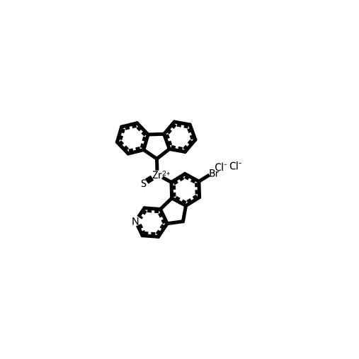 [Cl-].[Cl-].[S]=[Zr+2]([c]1cc(Br)cc2c1-c1cnccc1C2)[CH]1c2ccccc2-c2ccccc21